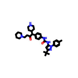 Cc1ccc(-n2nc(C(C)(C)C)cc2NC(=O)Nc2ccc(C(C(=O)CCN3CCCCC3)C3CCNCC3)cc2)cc1